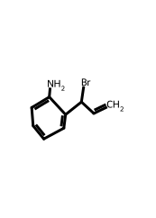 C=CC(Br)c1ccccc1N